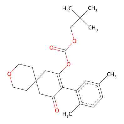 Cc1ccc(C)c(C2=C(OC(=O)OCC(C)(C)C)CC3(CCOCC3)CC2=O)c1